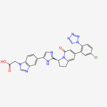 O=C(O)Cn1cnc2cc(-c3cnc([C@@H]4CCc5cc(-c6cc(Cl)ccc6-n6cnnn6)cc(=O)n54)[nH]3)ccc21